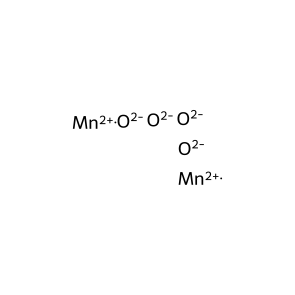 [Mn+2].[Mn+2].[O-2].[O-2].[O-2].[O-2]